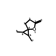 C=C1CCC2(O1)C(C)C2C